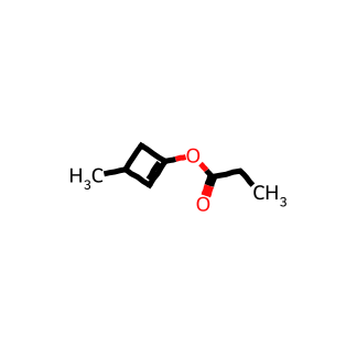 CCC(=O)OC1=CC(C)C1